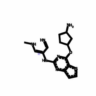 CN/C=C(\C=N)Nc1nc(OC2CCC(N)C2)c2sccc2n1